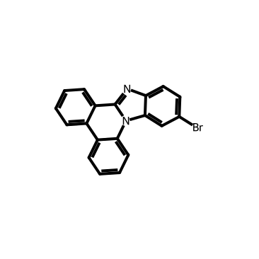 Brc1ccc2nc3c4ccccc4c4ccccc4n3c2c1